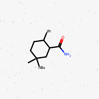 CCCCC1(C)CCC(C(C)C)C(C(N)=O)C1